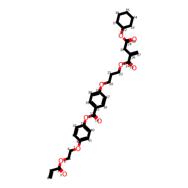 C=CC(=O)OCCOc1ccc(OC(=O)c2ccc(OCCCOC(=O)C(=C)CC(=O)OC3CCCCC3)cc2)cc1